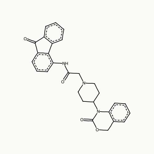 O=C(CN1CCC(N2C(=O)OCc3ccccc32)CC1)Nc1cccc2c1-c1ccccc1C2=O